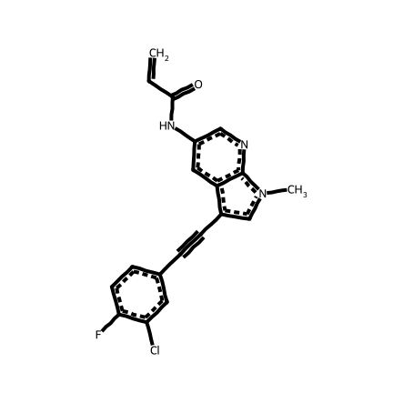 C=CC(=O)Nc1cnc2c(c1)c(C#Cc1ccc(F)c(Cl)c1)cn2C